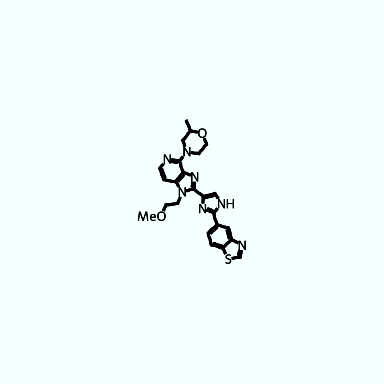 COCCn1c(-c2c[nH]c(-c3ccc4scnc4c3)n2)nc2c(N3CCOC(C)C3)nccc21